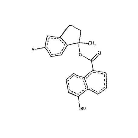 CCC(C)c1cccc2c(C(=O)OC3(C)CCc4cc(F)ccc43)cccc12